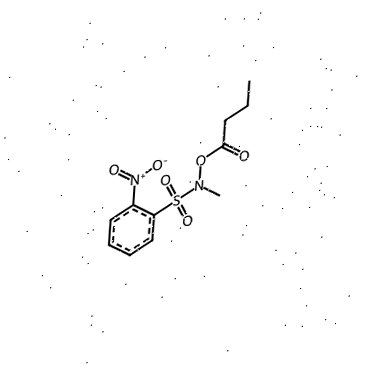 CCCC(=O)ON(C)S(=O)(=O)c1ccccc1[N+](=O)[O-]